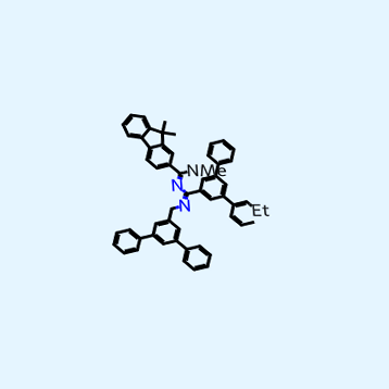 C/C=C\C(=C/CC)c1cc(C(=N/Cc2cc(-c3ccccc3)cc(-c3ccccc3)c2)/N=C(\NC)c2ccc3c(c2)C(C)(C)c2ccccc2-3)cc(-c2ccccc2)c1